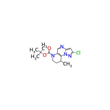 CC1CCN(C(=O)OC(C)(C)C)c2cnc3cc(Cl)nn3c21